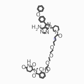 CN(C(=O)c1cccc(OCCOCCOCCOCC/C=C/C(=O)N2CCCC(n3nc(-c4ccc(Oc5ccccc5)cc4)c4c(N)ncnc43)C2)c1C=O)C1CCC(=O)NC1=O